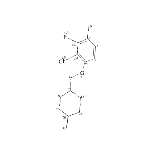 Cc1ccc(OCC2CCC(C)CC2)c(Cl)c1F